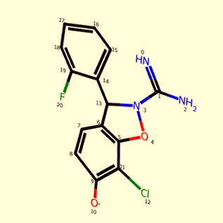 N=C(N)N1Oc2c(ccc([O])c2Cl)C1c1ccccc1F